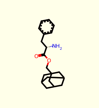 N[C@@H](Cc1ccccc1)C(=O)OCC12CC3CC(CC(C3)C1)C2